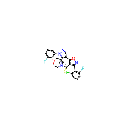 Fc1cccc(-n2ncc(-c3onc(-c4c(F)cccc4Cl)c3C(=S)N3CCOCC3)c2C(F)(F)F)c1